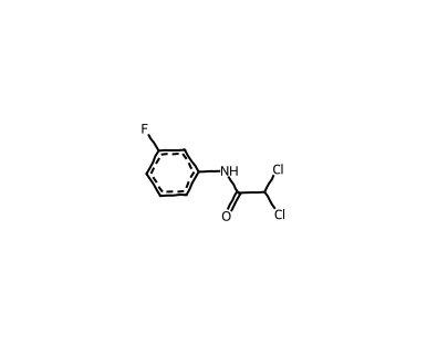 O=C(Nc1cccc(F)c1)C(Cl)Cl